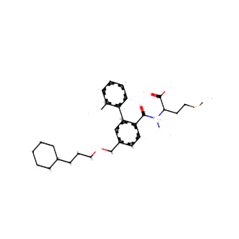 CSCCC(C(=O)O)N(C)C(=O)c1ccc(COCCCC2CCCCC2)cc1-c1ccccc1C